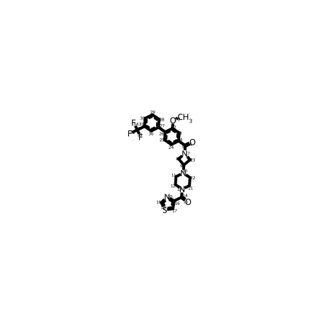 COc1cc(C(=O)N2CC(N3CCN(C(=O)c4cscn4)CC3)C2)ccc1-c1cccc(C(F)(F)F)c1